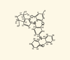 Cc1cc2c3c(c1)Oc1c(ccc4c1C(C)(C)CCC4(C)C)B3c1ccc(N3c4ccccc4Oc4ccccc43)cc1O2